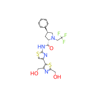 O=C(Nc1nc(-c2sc(CO)nc2CO)cs1)[C@@H]1C[C@@H](c2ccccc2)CN1CC(F)(F)F